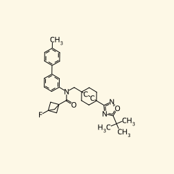 Cc1ccc(-c2cccc(N(CC34CCC(c5noc(C(C)(C)C)n5)(CC3)CC4)C(=O)C34CC(F)(C3)C4)c2)cc1